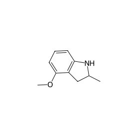 COc1cccc2c1CC(C)N2